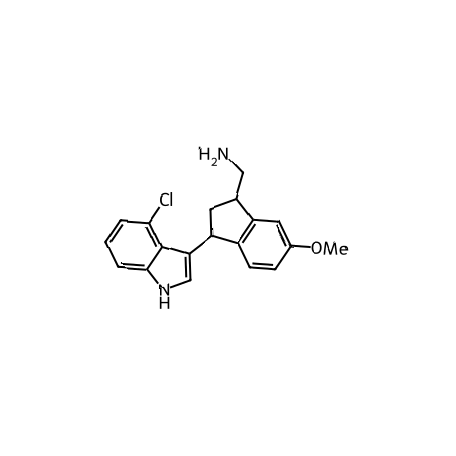 COc1ccc2c(c1)C(CN)CC2c1c[nH]c2cccc(Cl)c12